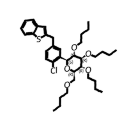 CCCCOC[C@H]1O[C@@H](c2cc(Cc3cc4ccccc4s3)ccc2Cl)[C@H](OCCCC)[C@@H](OCCCC)[C@@H]1OCCCC